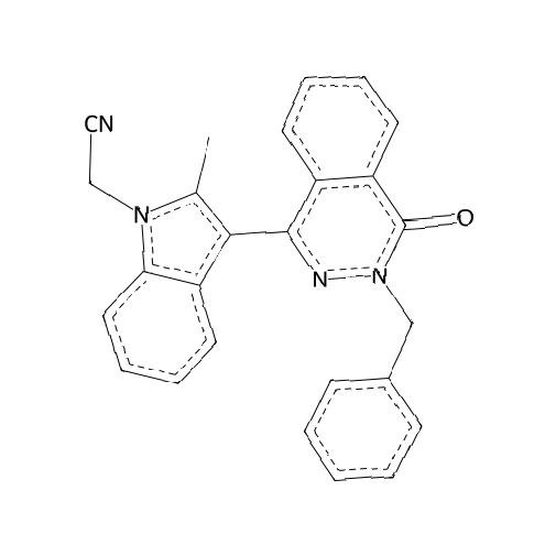 Cc1c(-c2nn(Cc3ccccc3)c(=O)c3ccccc23)c2ccccc2n1CC#N